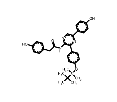 CC(C)(C)[Si](C)(C)Oc1ccc(-c2nc(-c3ccc(O)cc3)cnc2NC(=O)Cc2ccc(O)cc2)cc1